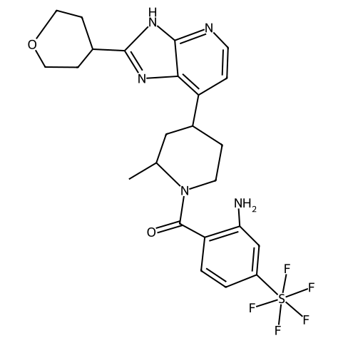 CC1CC(c2ccnc3[nH]c(C4CCOCC4)nc23)CCN1C(=O)c1ccc(S(F)(F)(F)(F)F)cc1N